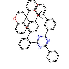 CC1(C)c2ccccc2C2(c3ccccc3Oc3ccccc32)c2cc(-c3ccccc3-c3nc(-c4ccccc4)nc(-c4cccc(-c5ccccc5)c4)n3)ccc21